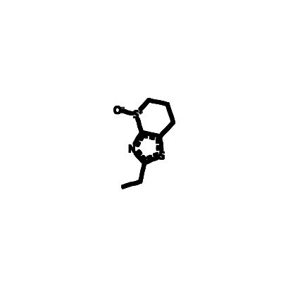 CCc1nc2c(s1)CCC[S+]2[O-]